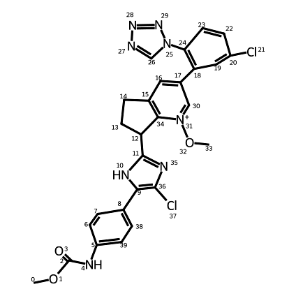 COC(=O)Nc1ccc(-c2[nH]c(C3CCc4cc(-c5cc(Cl)ccc5-n5cnnn5)c[n+](OC)c43)nc2Cl)cc1